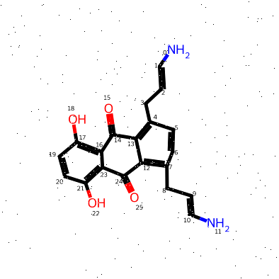 NC=CCc1ccc(CC=CN)c2c1C(=O)c1c(O)ccc(O)c1C2=O